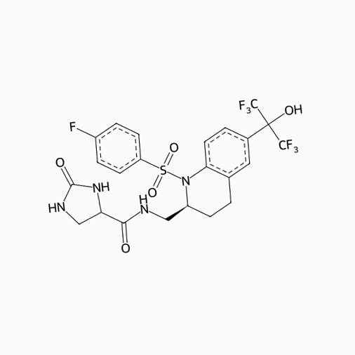 O=C1NCC(C(=O)NC[C@@H]2CCc3cc(C(O)(C(F)(F)F)C(F)(F)F)ccc3N2S(=O)(=O)c2ccc(F)cc2)N1